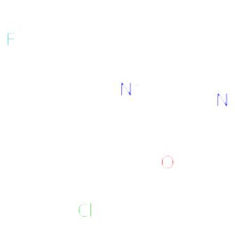 N#C[N+]1(C(=O)CCl)C=C[C@@H](F)C1